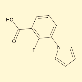 O=C(O)c1cccc(-n2cccc2)c1F